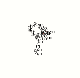 CC[C@H](C)[C@@H]1NC(=O)CNC(=O)[C@H]2Cc3c([nH]c4ccccc34)SCC(NC(=O)CNC1=O)C(=O)N[C@@H](CC(=O)NCc1ccc(NC(=O)[C@H](C)NC)cc1)[C@H](O)N1C[C@H](O)C[C@H]1N[C@@H]([C@@H](C)[C@@H](O)CO)C(=O)N2